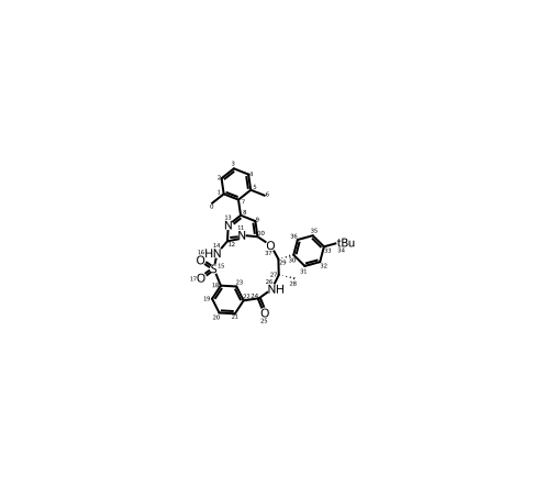 Cc1cccc(C)c1-c1cc2nc(n1)NS(=O)(=O)c1cccc(c1)C(=O)N[C@@H](C)[C@@H](c1ccc(C(C)(C)C)cc1)O2